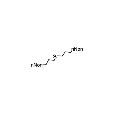 CCCCCCCCCCCC[Se]CCCCCCCCCCCC